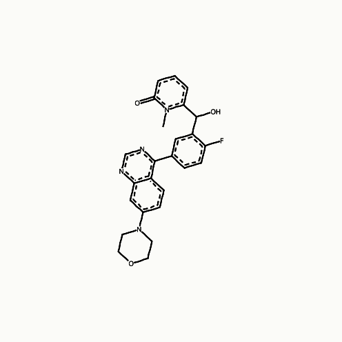 Cn1c(C(O)c2cc(-c3ncnc4cc(N5CCOCC5)ccc34)ccc2F)cccc1=O